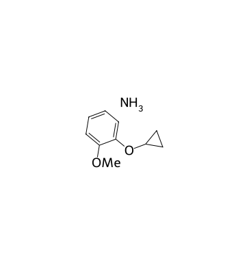 COc1ccccc1OC1CC1.N